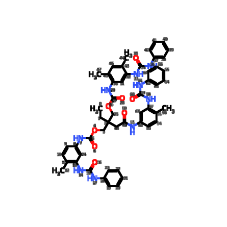 CCC(COC(=O)Nc1ccc(C)c(NC(=O)Nc2ccccc2)c1)(COC(=O)Nc1cc(NC(=O)Nc2ccccc2)c(C)cc1C)CC(=O)Nc1ccc(C)c(NC(=O)Nc2ccccc2)c1